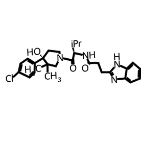 CC(C)[C@@H](NC(=O)CCc1nc2ccccc2[nH]1)C(=O)N1CC[C@](O)(c2ccc(Cl)cc2)C(C)(C)C1